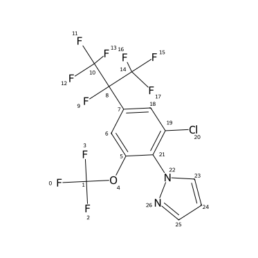 FC(F)(F)Oc1cc(C(F)(C(F)(F)F)C(F)(F)F)cc(Cl)c1-n1cccn1